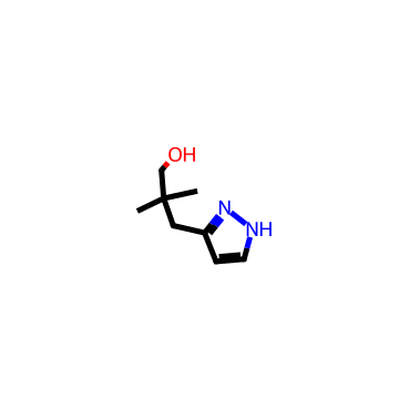 CC(C)(CO)Cc1cc[nH]n1